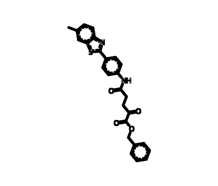 Cc1ccc2nc(-c3ccc(NC(=O)CCC(=O)C(=O)OCc4ccccc4)cc3)sc2c1